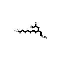 CC=CC(C=CCCCCCC)CC(C)C=O